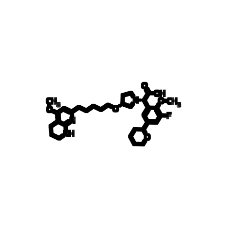 COc1cc(CCCCCO[C@@H]2CCN([C@H](C(=O)O)c3cc(C4CCCCO4)cc(F)c3OC)C2)nc2c1CCCN2